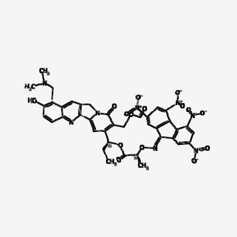 CC[C@H](OC(=O)[C@H](C)ON=C1c2cc([N+](=O)[O-])cc([N+](=O)[O-])c2-c2c1cc([N+](=O)[O-])cc2[N+](=O)[O-])c1cc2n(c(=O)c1COC=O)Cc1cc3c(CN(C)C)c(O)ccc3nc1-2